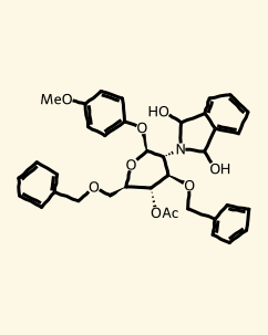 COc1ccc(O[C@@H]2O[C@H](COCc3ccccc3)[C@@H](OC(C)=O)[C@H](OCc3ccccc3)[C@H]2N2C(O)c3ccccc3C2O)cc1